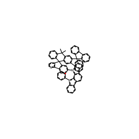 CC1(C)c2ccccc2C2(c3cc4c(cc31)C1(c3ccccc3-c3ccccc31)c1ccccc1-4)c1cccnc1-c1ncc(-n3c4ccccc4c4ccc5c6ccccc6n(-c6ccccc6)c5c43)cc12